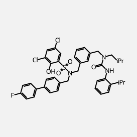 CC(C)CN(Cc1cccc(CN(Cc2ccc(-c3ccc(F)cc3)cc2)S(=O)(=O)c2cc(Cl)cc(Cl)c2O)c1)C(=O)Nc1ccccc1C(C)C